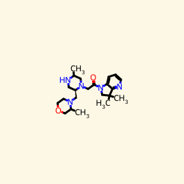 CC1CN(CC(=O)N2CC(C)(C)c3ncccc32)[C@@H](CN2CCOCC2C)CN1